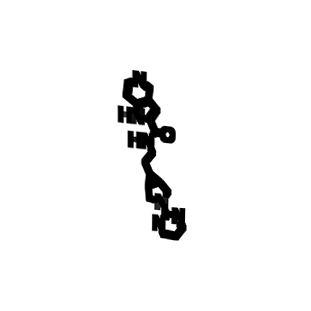 O=C(NCCC1C2CN(c3ncccn3)CC12)c1cc2cnccc2[nH]1